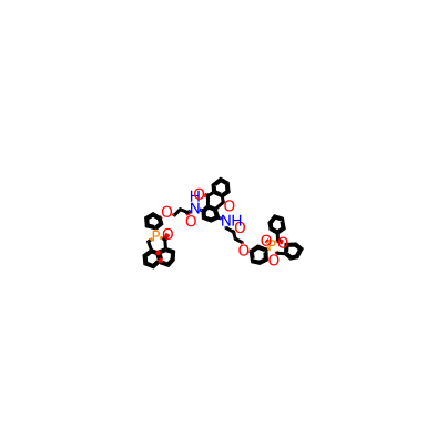 O=C(CCOc1cccc(P(=O)(C(=O)c2ccccc2)C(=O)c2ccccc2)c1)CNc1ccc(NC(=O)CCOc2cccc(P(Cc3ccccc3)C(=O)c3ccccc3)c2)c2c1C(=O)c1ccccc1C2=O